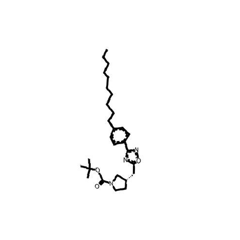 CCCCCCCCCCc1ccc(-c2noc(C[C@@H]3CCN(C(=O)OC(C)(C)C)C3)n2)cc1